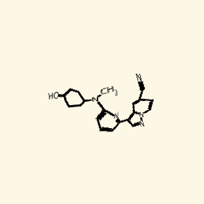 CN(c1cccc(-c2cnn3ccc(C#N)cc23)n1)C1CCC(O)CC1